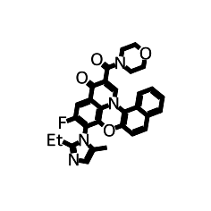 CCc1ncc(C)n1-c1c(F)cc2c(=O)c(C(=O)N3CCOCC3)cn3c2c1Oc1ccc2ccccc2c1-3